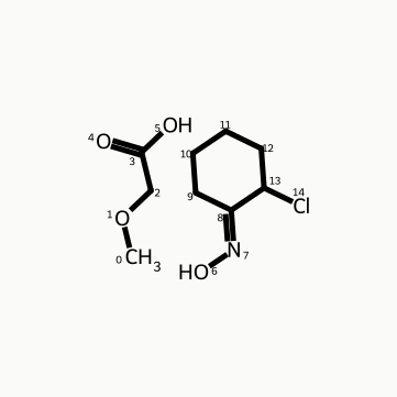 COCC(=O)O.ON=C1CCCCC1Cl